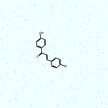 CCc1ccc(C=CC(=O)c2ccc(O)cc2)cc1